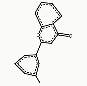 Cc1cccc(-c2cc(=O)c3ccccc3o2)c1